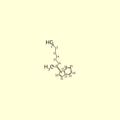 C#CCCCCCC(C)=C1C=Cc2ccccc21